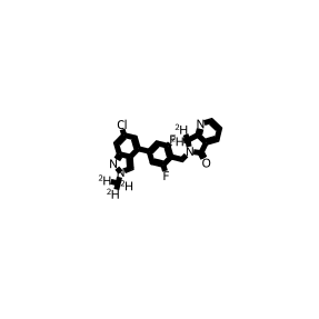 [2H]C1([2H])c2ncccc2C(=O)N1Cc1c(F)cc(-c2cc(Cl)cc3nn(C([2H])([2H])[2H])cc23)cc1F